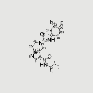 CCC(C)NC(=O)c1cnn2c1CN(C(=O)Nc1ccc(F)c(F)c1)CC2